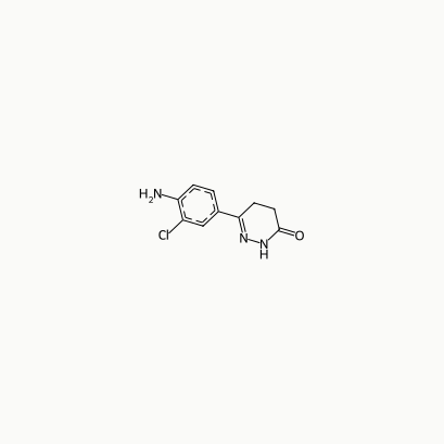 Nc1ccc(C2=NNC(=O)CC2)cc1Cl